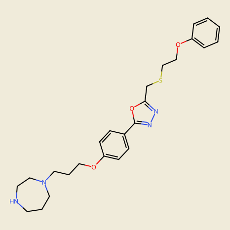 c1ccc(OCCSCc2nnc(-c3ccc(OCCCN4CCCNCC4)cc3)o2)cc1